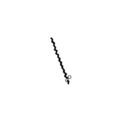 CCC=CCCCCCCCC=CC=CC=CC=CC=CC(=O)OCC